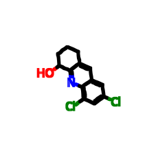 OC1CCCc2cc3cc(Cl)cc(Cl)c3nc21